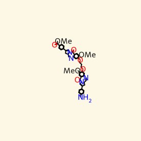 COC(=O)c1ccc(C2=CN3C(=O)c4cc(OC)c(OCCCOc5cc6c(cc5OC)C(=O)N5C=C(c7ccc(N)cc7)CC5C=N6)cc4N=CC3C2)cc1